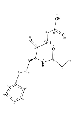 CCC(=O)N[C@@H](CSCc1ccccc1)C(=O)NCC(=O)O